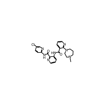 CN1CCCN(c2ncccc2C(=O)Nc2cccnc2C(=O)Nc2ccc(Cl)cn2)CC1